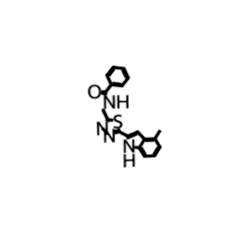 Cc1cccc2[nH]c(-c3nnc(CNC(=O)c4ccccc4)s3)cc12